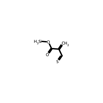 C=C(C=S)C(=O)O[SiH3]